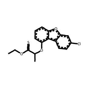 CCOC(=S)C(C)Oc1cccc2oc3cc(Cl)ccc3c12